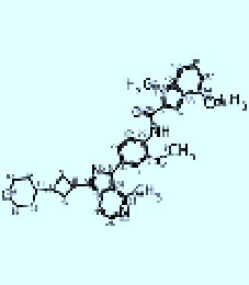 COc1cc(-c2nc(C3CN(C4CCOCC4)C3)n3ccnc(C)c23)ccc1NC(=O)c1cc2c(OC)cccc2n1C